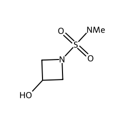 CNS(=O)(=O)N1CC(O)C1